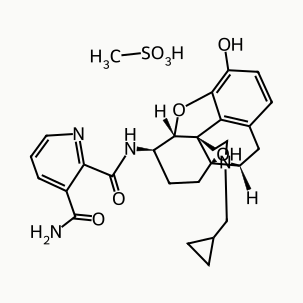 CS(=O)(=O)O.NC(=O)c1cccnc1C(=O)N[C@@H]1CC[C@@]2(O)[C@H]3Cc4ccc(O)c5c4[C@@]2(CCN3CC2CC2)[C@H]1O5